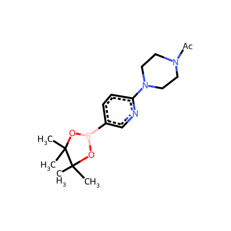 CC(=O)N1CCN(c2ccc(B3OC(C)(C)C(C)(C)O3)cn2)CC1